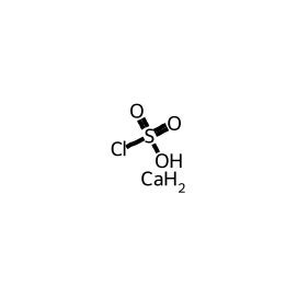 O=S(=O)(O)Cl.[CaH2]